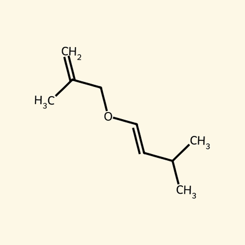 C=C(C)COC=CC(C)C